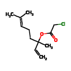 C=CC(C)(CCC=C(C)C)OC(=O)CCl